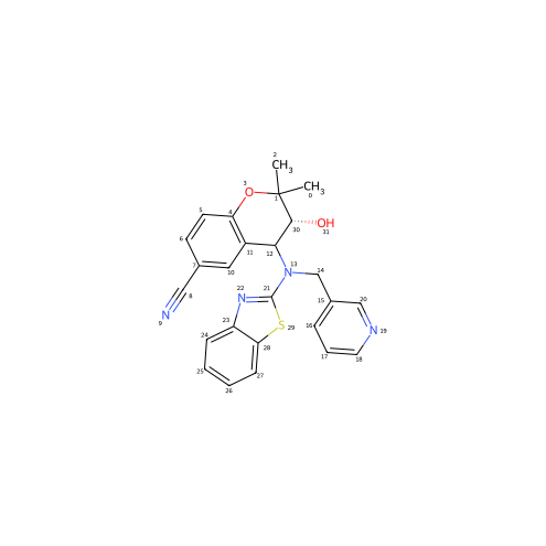 CC1(C)Oc2ccc(C#N)cc2C(N(Cc2cccnc2)c2nc3ccccc3s2)[C@H]1O